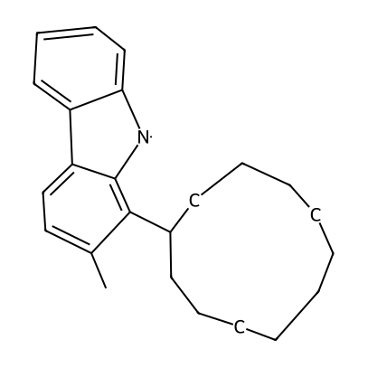 Cc1ccc2c(c1C1CCCCCCCCCC1)[N]c1ccccc1-2